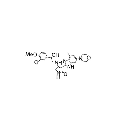 COc1ccc(C(O)CNC2=C(c3nc4c(C)cc(N5CCOCC5)cc4[nH]3)C(=O)NC2)cc1Cl